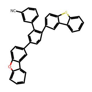 N#Cc1cccc(-c2cc(-c3ccc4oc5ccccc5c4c3)ccc2-c2ccc3sc4ccccc4c3c2)c1